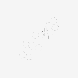 C[Si](C)(c1cccc(-c2c3ccccc3c(-c3cccc4ccccc34)c3ccccc23)c1)c1ccc2ccc3cccc4ccc1c2c34